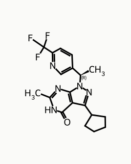 Cc1nc2c(c(C3CCCC3)nn2[C@H](C)c2ccc(C(F)(F)F)nc2)c(=O)[nH]1